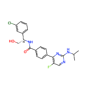 CC(C)Nc1ncc(F)c(-c2ccc(C(=O)N[C@H](CO)c3cccc(Cl)c3)cc2)n1